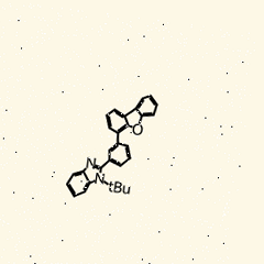 CC(C)(C)n1c(-c2cccc(-c3cccc4c3oc3ccccc34)c2)nc2ccccc21